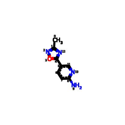 Cc1noc(-c2ccc(N)nc2)n1